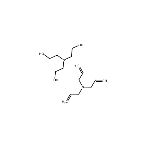 C=CCN(CC=C)CC=C.OCCN(CCO)CCO